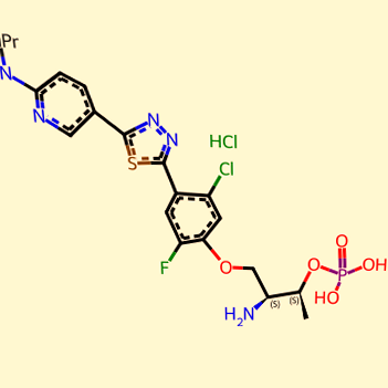 CC(C)Nc1ccc(-c2nnc(-c3cc(F)c(OC[C@H](N)[C@H](C)OP(=O)(O)O)cc3Cl)s2)cn1.Cl